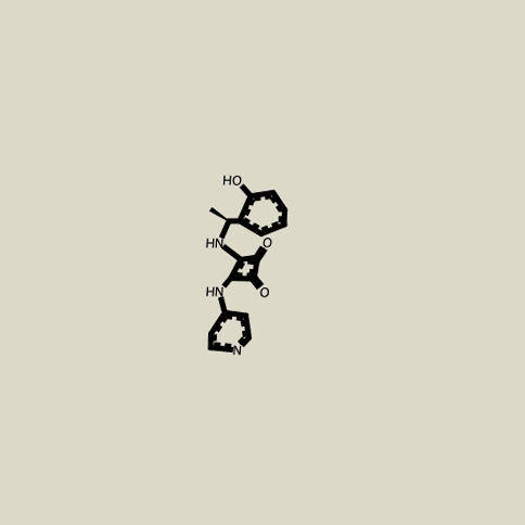 C[C@H](Nc1c(Nc2ccncc2)c(=O)c1=O)c1ccccc1O